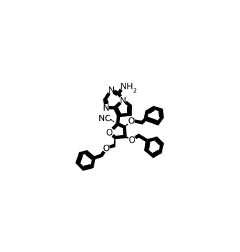 N#C[C@@]1(c2ccn3c(N)ncnc23)O[C@H](COCc2ccccc2)[C@@H](OCc2ccccc2)[C@H]1OCc1ccccc1